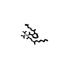 C=CCCCC(C)C1C=CC=CC1C(C)B(C(C)CCC(C)CCCCCC)N(C(C)C)C(C)C